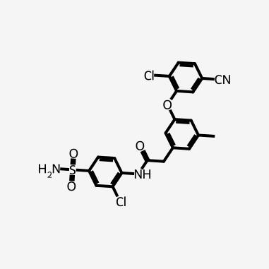 Cc1cc(CC(=O)Nc2ccc(S(N)(=O)=O)cc2Cl)cc(Oc2cc(C#N)ccc2Cl)c1